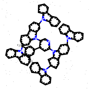 FC(F)(F)c1cc(-c2cc(-n3c4cc(-n5c6ccccc6c6ccccc65)ccc4c4ccc(-n5c6ccccc6c6ccccc65)cc43)ncc2-n2c3cc(-n4c5ccccc5c5ccccc54)ccc3c3ccc(-n4c5ccccc5c5ccccc54)cc32)cc(C(F)(F)F)c1